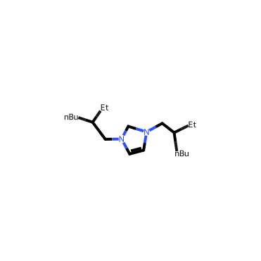 CCCCC(CC)CN1C=CN(CC(CC)CCCC)C1